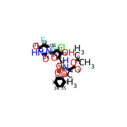 CC(C)OC(=O)[C@H](C)N[P@](=O)(OC[C@H]1O[C@@H](n2cc(F)c(=O)[nH]c2=O)[C@@](F)(Cl)[C@@H]1O)Oc1ccccc1